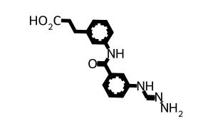 NN=CNc1cccc(C(=O)Nc2cccc(CCC(=O)O)c2)c1